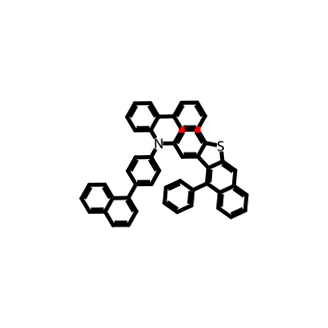 c1ccc(-c2ccccc2N(c2ccc(-c3cccc4ccccc34)cc2)c2ccc3sc4cc5ccccc5c(-c5ccccc5)c4c3c2)cc1